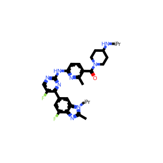 Cc1nc(Nc2ncc(F)c(-c3cc(F)c4nc(C)n(C(C)C)c4c3)n2)ccc1C(=O)N1CCC(NC(C)C)CC1